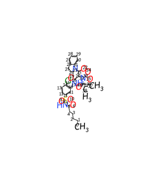 CCCCCC(=O)NS(=O)(=O)c1ccc(Cl)c(NC(=O)C(C(=O)N2CCc3ccccc32)N2C(=O)OC(C)(C)C2=O)c1